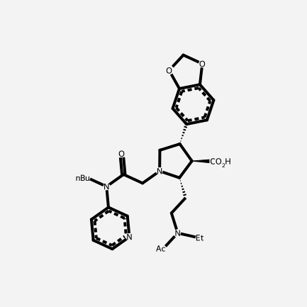 CCCCN(C(=O)CN1C[C@H](c2ccc3c(c2)OCO3)[C@@H](C(=O)O)[C@@H]1CCN(CC)C(C)=O)c1cccnc1